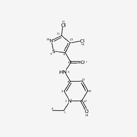 CCn1cc(NC(=O)c2snc(Cl)c2Cl)ccc1=O